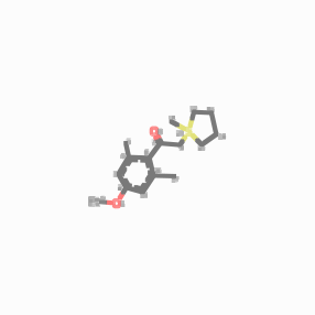 CCOc1cc(C)c(C(=O)CS2(C)CCCC2)c(C)c1